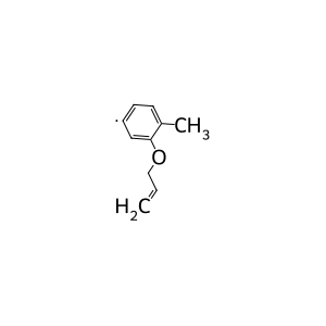 C=CCOc1c[c]ccc1C